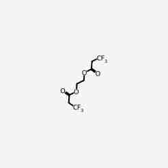 O=C(CC(F)(F)F)OCCOC(=O)CC(F)(F)F